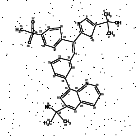 CC(C)(O)c1cnc(/C(=C/c2cccc(-c3cc(C(C)(C)C#N)cc4cccnc34)c2)c2ccc(S(C)(=O)=O)cc2)s1